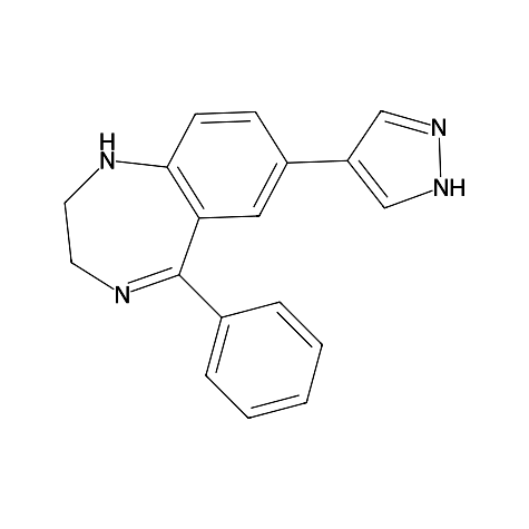 c1ccc(C2=NCCNc3ccc(-c4cn[nH]c4)cc32)cc1